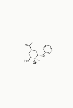 C=C(C)[C@H]1C[C@H]([Se]c2ccccc2)[C@@](C)(O)[C@@H](O)C1